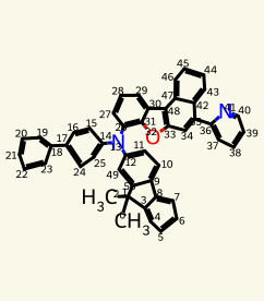 CC1(C)c2ccccc2-c2ccc(N(c3ccc(-c4ccccc4)cc3)c3cccc4c3oc3cc(-c5ccccn5)c5ccccc5c34)cc21